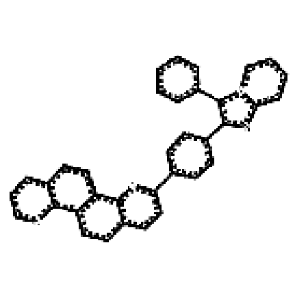 c1ccc(-c2c(-c3ccc(-c4ccc5ccc6c(ccc7cccnc76)c5n4)cc3)nc3ccccn23)cc1